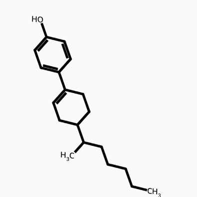 CCCCCC(C)C1CC=C(c2ccc(O)cc2)CC1